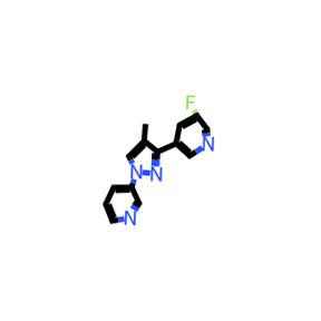 Cc1cn(-c2cccnc2)nc1-c1cncc(F)c1